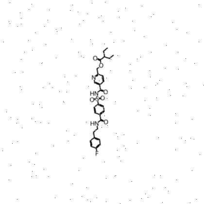 CCC(CC)C(=O)OCc1ccc(C(=O)NS(=O)(=O)c2ccc(C(=O)NCCc3ccc(F)cc3)cc2)cn1